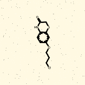 O=C1CSc2cc(OCCCCl)ccc2N1